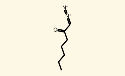 CCCCCC(=O)C=[N+]=[N-]